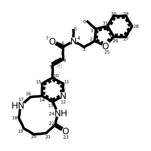 Cc1c(CN(C)C(=O)/C=C/c2cnc3c(c2)CNCCCCC(=O)N3)oc2ccccc12